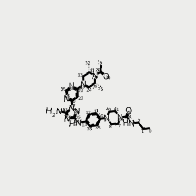 CCCNC(=O)N1CCN(c2ccc(Nc3nc(N)n(-c4cc(N5C[C@@H](C)N(C(C)=O)[C@@H](C)C5)ncn4)n3)cc2)CC1